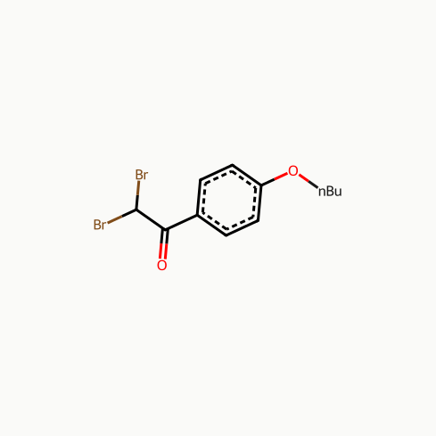 CCCCOc1ccc(C(=O)C(Br)Br)cc1